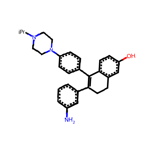 CC(C)N1CCN(c2ccc(C3=C(c4cccc(N)c4)CCc4cc(O)ccc43)cc2)CC1